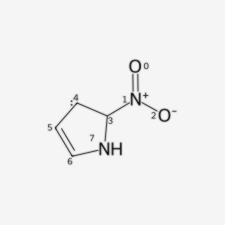 O=[N+]([O-])C1[C]C=CN1